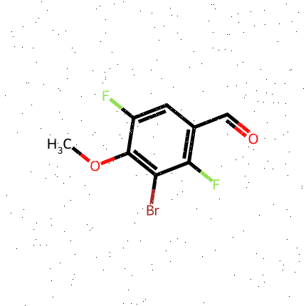 COc1c(F)cc(C=O)c(F)c1Br